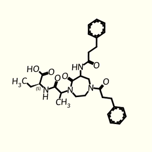 CC[C@H](NC(=O)C(C)N1CCN(C(=O)CCc2ccccc2)CC(NC(=O)CCc2ccccc2)C1=O)C(=O)O